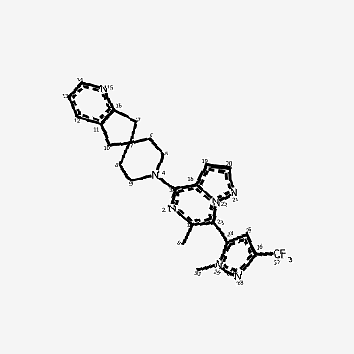 Cc1nc(N2CCC3(CC2)Cc2cccnc2C3)c2ccnn2c1-c1cc(C(F)(F)F)nn1C